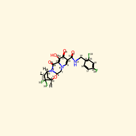 C[C@H]1[C@@H]2C[C@H](OC3Cn4cc(C(=O)NCc5ccc(F)cc5F)c(=O)c(O)c4C(=O)N32)C1(F)F